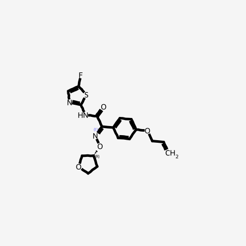 C=CCOc1ccc(/C(=N\O[C@@H]2CCOC2)C(=O)Nc2ncc(F)s2)cc1